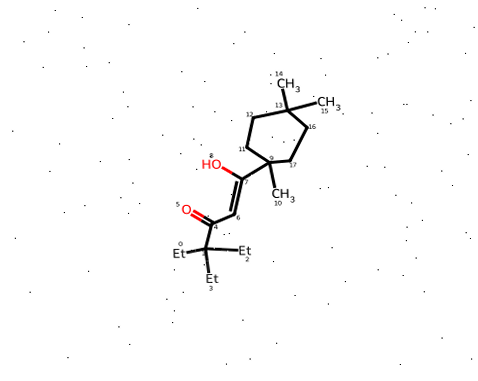 CCC(CC)(CC)C(=O)/C=C(\O)C1(C)CCC(C)(C)CC1